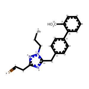 CC(C)CCn1nc(CC=S)nc1Cc1ccc(-c2ccccc2C(=O)O)cc1